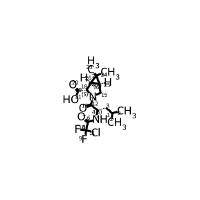 CC(C)C[C@H](NC(=O)C(F)(F)Cl)C(=O)N1C[C@H]2[C@@H]([C@H]1C(=O)O)C2(C)C